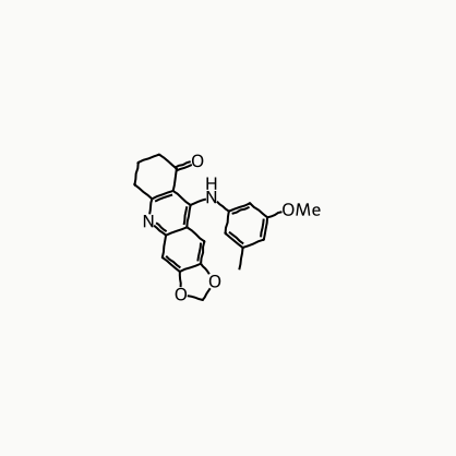 COc1cc(C)cc(Nc2c3c(nc4cc5c(cc24)OCO5)CCCC3=O)c1